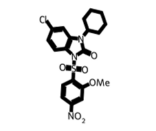 COc1cc([N+](=O)[O-])ccc1S(=O)(=O)n1c(=O)n(C2CCCCC2)c2cc(Cl)ccc21